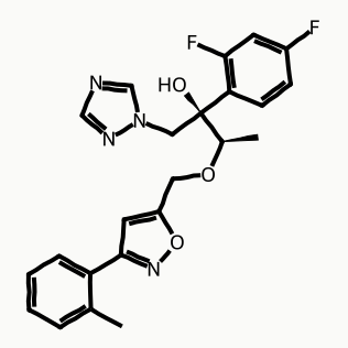 Cc1ccccc1-c1cc(CO[C@H](C)[C@](O)(Cn2cncn2)c2ccc(F)cc2F)on1